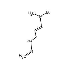 C=NNCC=CN(C)CC